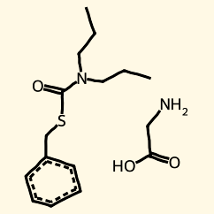 CCCN(CCC)C(=O)SCc1ccccc1.NCC(=O)O